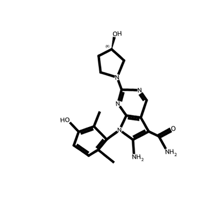 Cc1ccc(O)c(C)c1-n1c(N)c(C(N)=O)c2cnc(N3CC[C@@H](O)C3)nc21